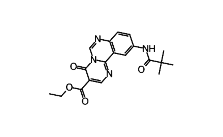 CCOC(=O)c1cnc2c3cc(NC(=O)C(C)(C)C)ccc3ncn2c1=O